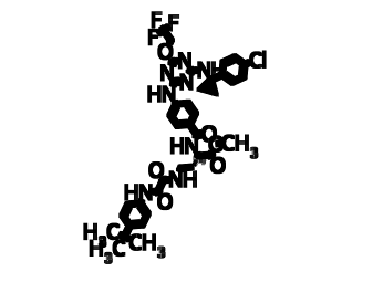 COC(=O)[C@H](CCNC(=O)C(=O)Nc1ccc(C(C)(C)C)cc1)NC(=O)c1ccc(Nc2nc(NC3(c4ccc(Cl)cc4)CC3)nc(OCC(F)(F)F)n2)cc1